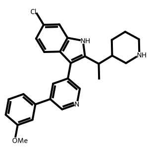 COc1cccc(-c2cncc(-c3c(C(C)C4CCCNC4)[nH]c4cc(Cl)ccc34)c2)c1